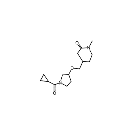 CN1CCC(COC2CCN(C(=O)C3CC3)C2)CC1=O